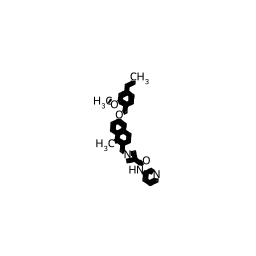 CCCc1ccc(COc2ccc3c(c2)CCC(CN2CC(C(=O)Nc4cccnc4)C2)=C3C)c(OC)c1